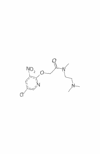 CN(C)CCN(C)C(=O)COc1ncc(Cl)cc1[N+](=O)[O-]